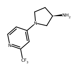 N[C@@H]1CCN(c2ccnc(C(F)(F)F)c2)C1